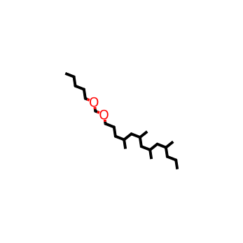 CCCCCOCOCCCC(C)CC(C)CC(C)CC(C)CCC